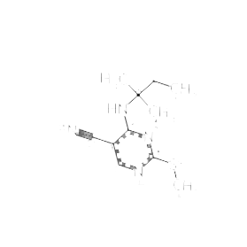 CCC(C)(C)Nc1nc(SC)ncc1C#N